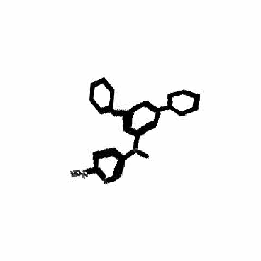 CN(c1ccc(C(=O)O)nc1)c1cc(C2CCCCC2)cc(C2CCCCC2)c1